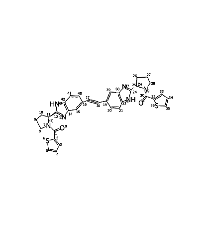 O=C(c1cccs1)N1CCC[C@H]1c1nc2cc(C#Cc3ccc4[nH]c([C@@H]5CCCN5C(=O)c5cccs5)nc4c3)ccc2[nH]1